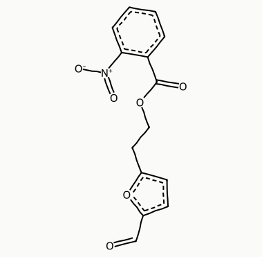 O=Cc1ccc(CCOC(=O)c2ccccc2[N+](=O)[O-])o1